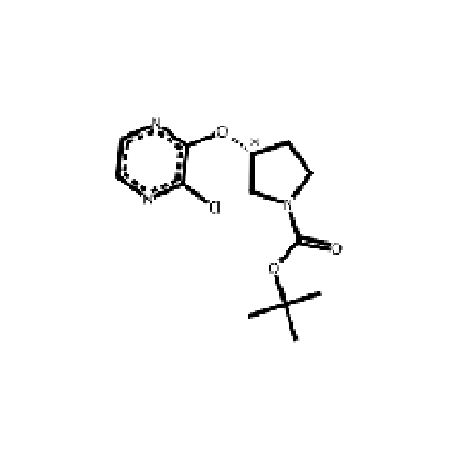 CC(C)(C)OC(=O)N1CC[C@@H](Oc2nccnc2Cl)C1